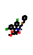 COC(=O)CC1(C)CC(c2cccc(Cl)c2)C(c2ccc(Cl)cc2)N([C@@H](C)CCSCc2ccccc2)C1=O